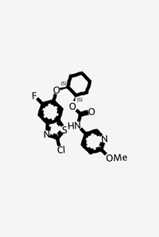 COc1ccc(NC(=O)O[C@H]2CCCC[C@@H]2Oc2cc3sc(Cl)nc3cc2F)cn1